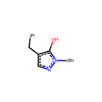 CC(C)Cc1cnn(C(C)(C)C)c1O